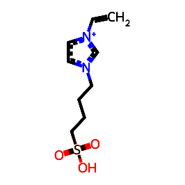 C=C[n+]1ccn(CCCCS(=O)(=O)O)c1